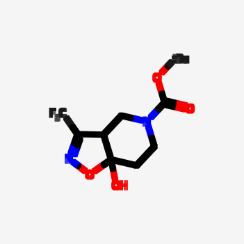 CC(C)(C)OC(=O)N1CCC2(O)ON=C(C(F)(F)F)C2C1